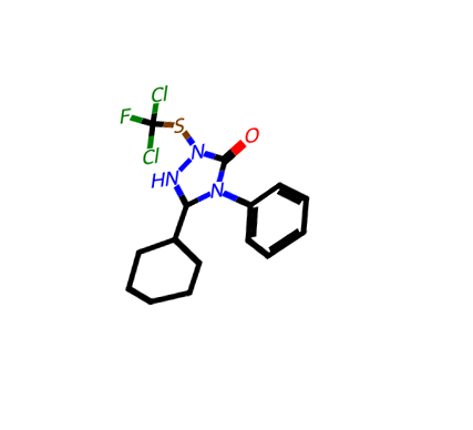 O=C1N(SC(F)(Cl)Cl)NC(C2CCCCC2)N1c1ccccc1